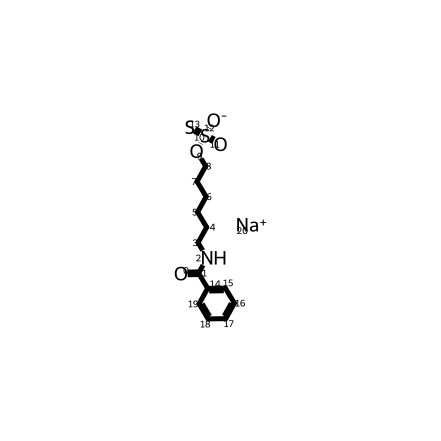 O=C(NCCCCCCOS(=O)([O-])=S)c1ccccc1.[Na+]